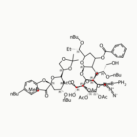 CCCCO[C@@H](CO)C[C@@H](OB=BP)C(O[C@H]1OC([C@H](CC)OCCCC)CC(OC(=O)c2ccccc2)C1O[C@H]1OC(COC(C)=O)[C@@H](OC(C)=O)[C@@H](OC(C)=O)C1N=[N+]=[N-])[C@@H](OC(C)=O)[C@H](O)O[C@H]1C([C@H]2COC(C)(C)O2)O[C@@](Oc2ccc(CCCC)cc2)(C(=O)OC)C[C@H]1OCCCC